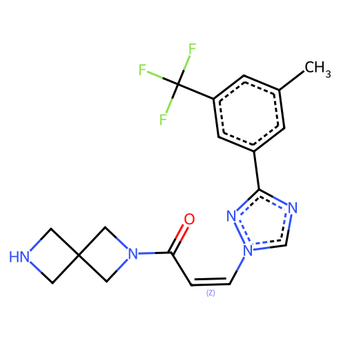 Cc1cc(-c2ncn(/C=C\C(=O)N3CC4(CNC4)C3)n2)cc(C(F)(F)F)c1